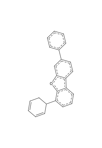 C1=CCC(c2cccc3c2oc2cc(-c4ccccc4)ccc23)C=C1